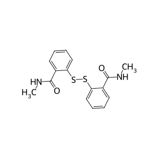 CNC(=O)c1ccccc1SSc1ccccc1C(=O)NC